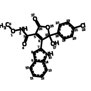 CONC(=O)C1=C(c2cc3ccccc3[nH]2)C(O)(c2ccc(Cl)cc2)OC1=O